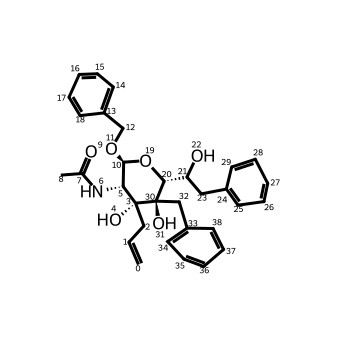 C=CC[C@@]1(O)[C@H](NC(C)=O)[C@@H](OCc2ccccc2)O[C@H](C(O)Cc2ccccc2)[C@]1(O)Cc1ccccc1